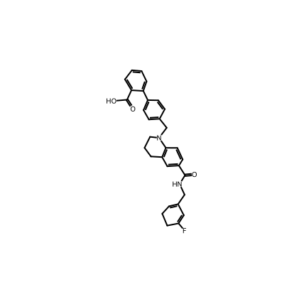 O=C(NCC1=CCCC(F)=C1)c1ccc2c(c1)CCCN2Cc1ccc(-c2ccccc2C(=O)O)cc1